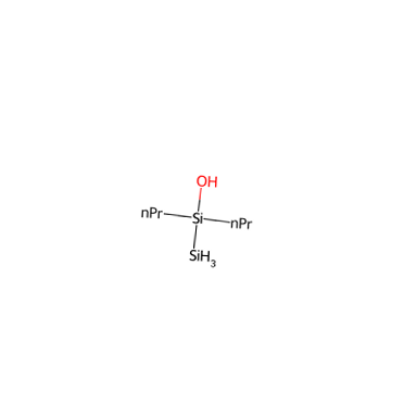 CCC[Si](O)([SiH3])CCC